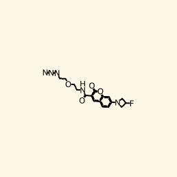 [N-]=[N+]=NCCOCCNC(=O)c1cc2ccc(N3CC(F)C3)cc2oc1=O